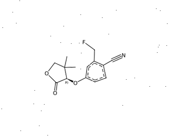 CC1(C)COC(=O)[C@@H]1Oc1ccc(C#N)c(CF)c1